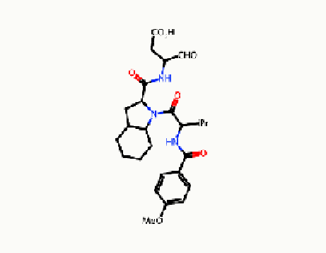 COc1ccc(C(=O)NC(C(=O)N2C(C(=O)NC(C=O)CC(=O)O)CC3CCCCC32)C(C)C)cc1